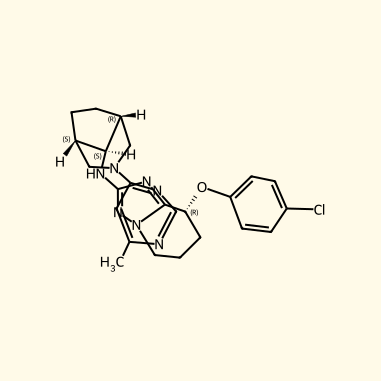 Cc1cc(N2C[C@H]3CC[C@@H](C2)[C@@H]3Nc2nc3n(n2)CCC[C@H]3Oc2ccc(Cl)cc2)ncn1